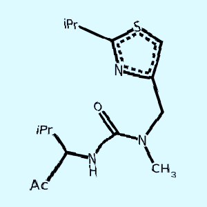 CC(=O)C(NC(=O)N(C)Cc1csc(C(C)C)n1)C(C)C